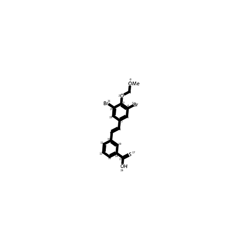 COCOc1c(Br)cc(C=Cc2cccc(C(O)=S)c2)cc1Br